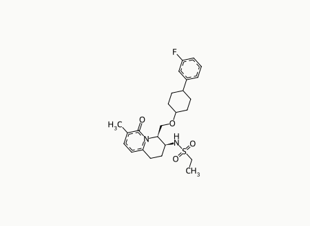 CCS(=O)(=O)N[C@H]1CCc2ccc(C)c(=O)n2[C@H]1COC1CCC(c2cccc(F)c2)CC1